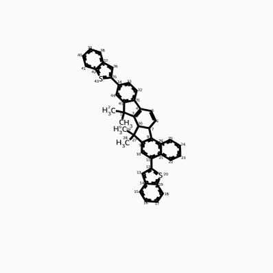 CC1(C)C2=C(C=CC3c4c(cc(-c5cc6ccccc6s5)c5ccccc45)C(C)(C)C23)c2ccc(-c3cc4ccccc4s3)cc21